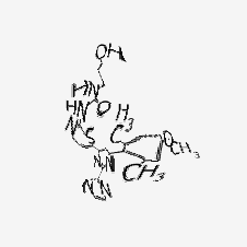 COc1cc(C)c(-c2cc(-c3cnc(NC(=O)NCCCO)s3)nc(-c3cnccn3)n2)c(C)c1